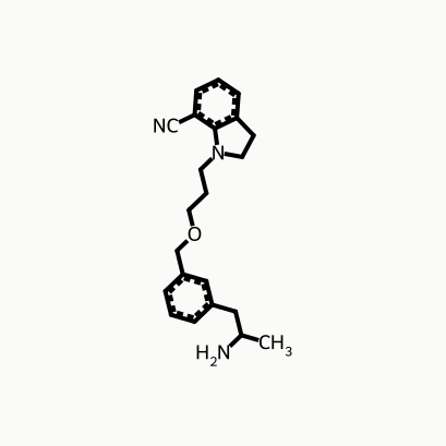 CC(N)Cc1cccc(COCCCN2CCc3cccc(C#N)c32)c1